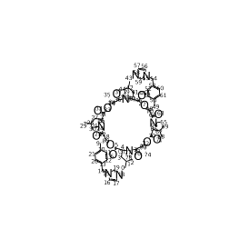 CC(C)C[C@H]1C(=O)O[C@H](Cc2ccc(Cn3ccnc3)cc2)C(=O)N(C)[C@@H](CC(C)C)C(=O)O[C@H](C)C(=O)N(C)[C@@H](CC(C)C)C(=O)O[C@H](Cc2ccc(Cn3ccnc3)cc2)C(=O)N(C)C(C(C)C)C(=O)O[C@H](C)C(=O)N1C